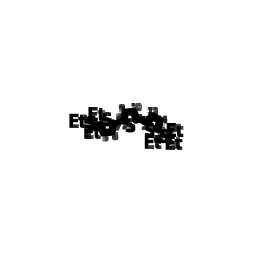 CCS(CC)(CC)c1ccc(-c2ccc(-c3ccc(S(CC)(CC)CC)s3)s2)s1